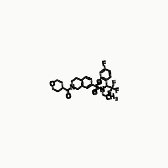 CCN(C(c1ccc(F)cc1)C(F)(F)F)S(=O)(=O)c1ccc2c(c1)CN(C(=O)C1CCOCC1)CC2